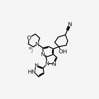 C[C@@H]1COCCN1c1cc(C2(O)CCC(C#N)CC2)c2cnn(-c3cc[nH]n3)c2n1